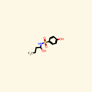 O=S(=O)(NC(O)CCC(F)(F)F)c1ccc(O)cc1